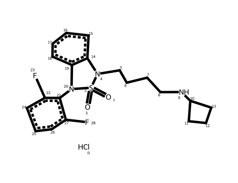 Cl.O=S1(=O)N(CCCCNC2CCC2)c2ccccc2N1c1c(F)cccc1F